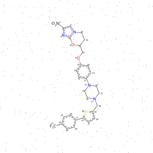 O=[N+]([O-])c1cn2c(n1)OC(COc1ccc(N3CCN(Cc4ccc(-c5ccc(C(F)(F)F)cc5)s4)CC3)cc1)CC2